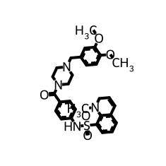 COc1ccc(CN2CCN(C(=O)c3ccc(NS(=O)(=O)c4cccc5c4N(C)CC=C5)cc3)CC2)cc1OC